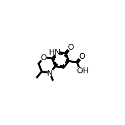 CC1COc2[nH]c(=O)c(C(=O)O)cc2N1C